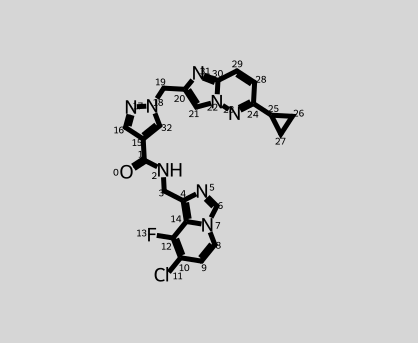 O=C(NCc1ncn2ccc(Cl)c(F)c12)c1cnn(Cc2cn3nc(C4CC4)ccc3n2)c1